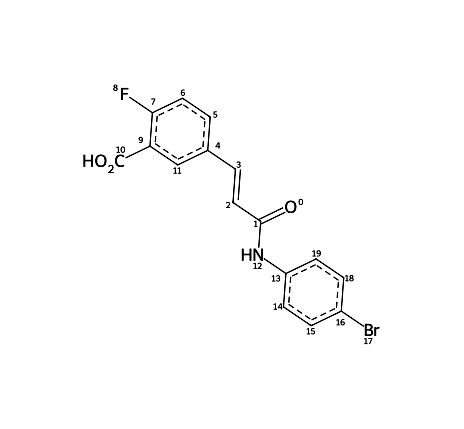 O=C(C=Cc1ccc(F)c(C(=O)O)c1)Nc1ccc(Br)cc1